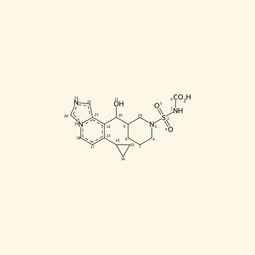 O=C(O)NS(=O)(=O)N1CCCC(C(O)c2c(C3CC3)ccn3cncc23)C1